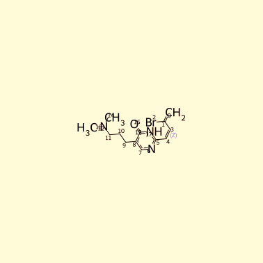 C=C(Br)/C=C\c1ncc(CCCN(C)C)c(=O)[nH]1